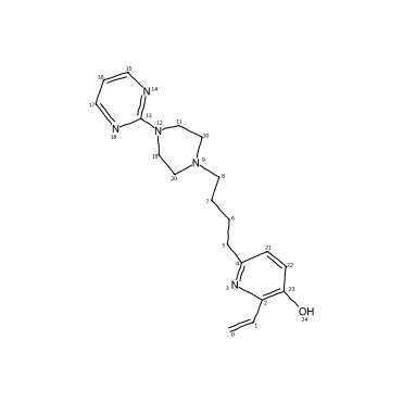 C=Cc1nc(CCCCN2CCN(c3ncccn3)CC2)ccc1O